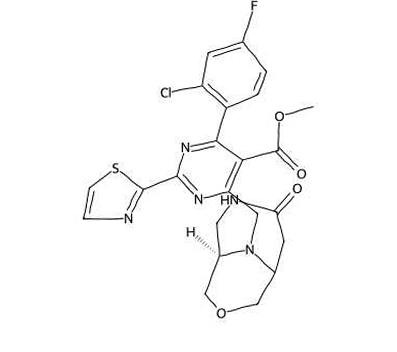 COC(=O)c1c(CN2C3COC[C@H]2CNC(=O)C3)nc(-c2nccs2)nc1-c1ccc(F)cc1Cl